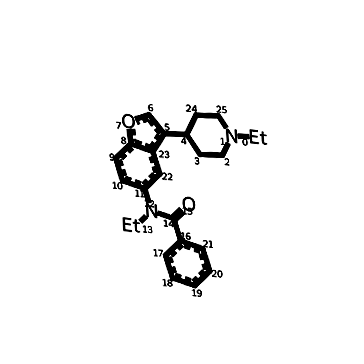 CCN1CCC(c2coc3ccc(N(CC)C(=O)c4ccccc4)cc23)CC1